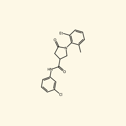 CCc1cccc(C)c1N1CC(C(=O)Nc2cccc(Cl)c2)CC1=O